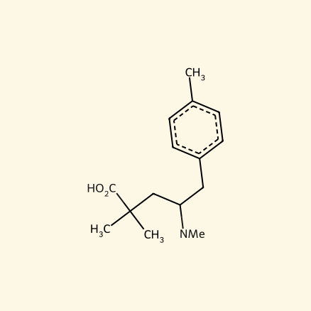 CNC(Cc1ccc(C)cc1)CC(C)(C)C(=O)O